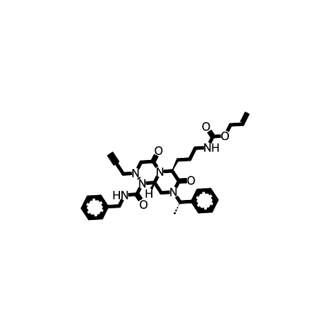 C#CCN1CC(=O)N2[C@@H](CCCNC(=O)OCC=C)C(=O)N([C@@H](C)c3ccccc3)C[C@@H]2N1C(=O)NCc1ccccc1